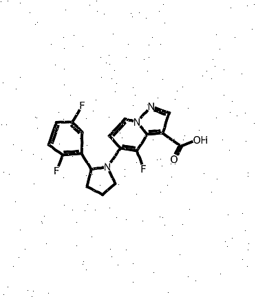 O=C(O)c1cnn2ccc(N3CCCC3c3cc(F)ccc3F)c(F)c12